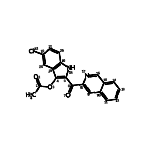 CC(=O)Oc1c(C(=O)c2cc3ccccc3cn2)[nH]c2ccc(Cl)cc12